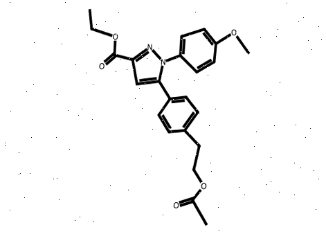 CCOC(=O)c1cc(-c2ccc(CCOC(C)=O)cc2)n(-c2ccc(OC)cc2)n1